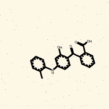 Cc1ccccc1Nc1ccc(C(=O)c2ccccc2C(=O)O)c(O)c1